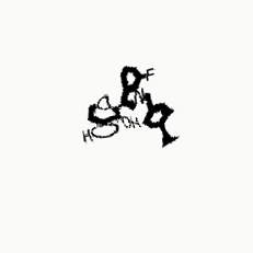 O[C@@H]1[C@@H](O)CCO[C@H]1c1cn(Cc2ccc(C3CC3)cc2)c2c(F)cccc12